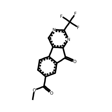 COC(=O)c1ccc2c(c1)C(=O)c1nc(C(F)(F)F)ncc1-2